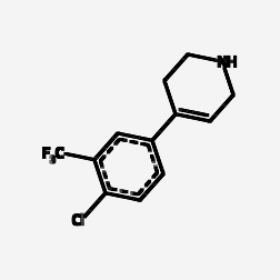 FC(F)(F)c1cc(C2=CCNCC2)ccc1Cl